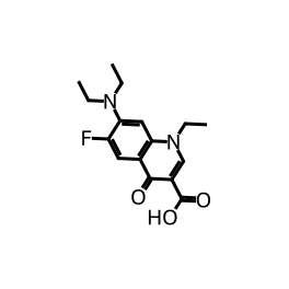 CCN(CC)c1cc2c(cc1F)c(=O)c(C(=O)O)cn2CC